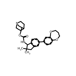 CC1(C)Cc2cc(-c3ccc4c(c3)OCCCO4)ccc2C1NC(=O)OC1CN2CCC1CC2